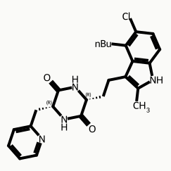 CCCCc1c(Cl)ccc2[nH]c(C)c(CC[C@H]3NC(=O)[C@@H](Cc4ccccn4)NC3=O)c12